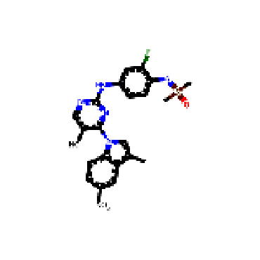 Cc1cn(-c2nc(Nc3ccc(N=S(C)(C)=O)c(F)c3)ncc2C#N)c2ccc([N+](=O)[O-])cc12